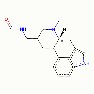 CN1CC(CNC=O)CC2c3cccc4[nH]cc(c34)C[C@H]21